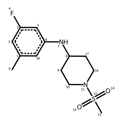 Cc1cc(F)cc(NC2CCN(S(C)(=O)=O)CC2)c1